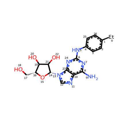 CCc1ccc(Nc2nc(N)c3ncn([C@@H]4O[C@H](CO)C(O)C4O)c3n2)cc1